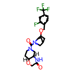 O=C1CO[C@H]2CCN(C(=O)N3CC4CC(OCc5ccc(C(F)(F)F)cc5F)C3C4)C[C@H]2N1